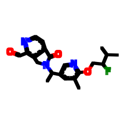 Cc1cc(C(C)N2Cc3c(ccnc3C=O)C2=O)cnc1OCC(F)C(C)C